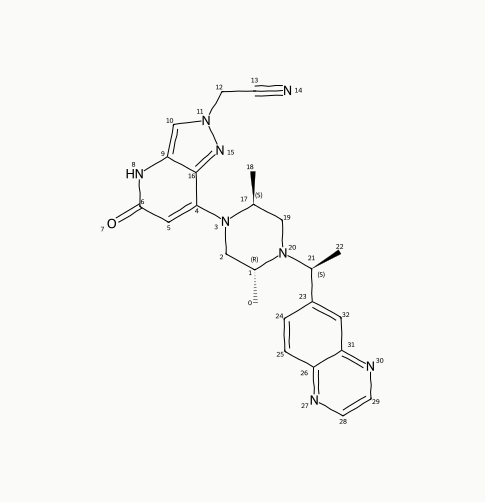 C[C@@H]1CN(c2cc(=O)[nH]c3cn(CC#N)nc23)[C@@H](C)CN1[C@@H](C)c1ccc2nccnc2c1